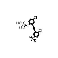 CC(C)(C)C(Oc1ccc(Cl)cc1C#Cc1cc(S(C)(=O)=O)ccc1Cl)C(=O)O